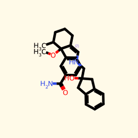 COC1(c2cccc(C(N)=O)c2)/C(=C\NCC2(O)Cc3ccccc3C2)CCCC1C